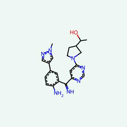 CC(O)C1CCN(c2cc(C(=N)c3cc(-c4cnn(C)c4)ccc3N)ncn2)C1